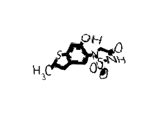 CC1Cc2cc(N3CC(=O)NS3(=O)=O)c(O)cc2S1